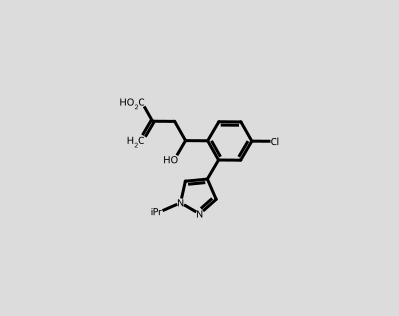 C=C(CC(O)c1ccc(Cl)cc1-c1cnn(C(C)C)c1)C(=O)O